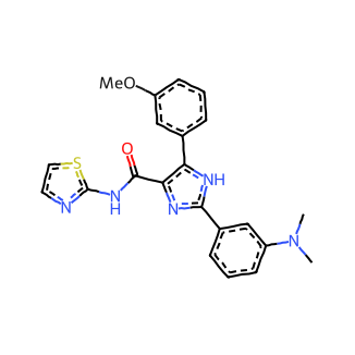 COc1cccc(-c2[nH]c(-c3cccc(N(C)C)c3)nc2C(=O)Nc2nccs2)c1